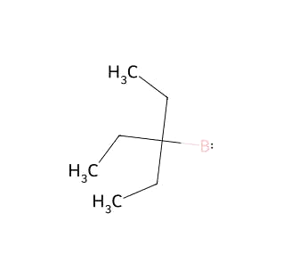 [B]C(CC)(CC)CC